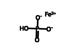 O=P([O-])([O-])O.[Fe+2]